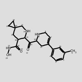 Cc1cccc(C2=CCNC(C(=O)C3NCC4(CC4)CC3C(=O)NO)C2)c1